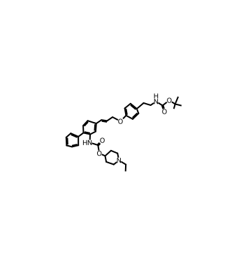 CCN1CCC(OC(=O)Nc2cc(C=CCOc3ccc(CCNC(=O)OC(C)(C)C)cc3)ccc2-c2ccccc2)CC1